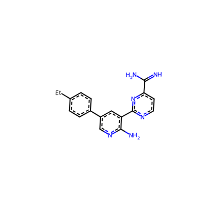 CCc1ccc(-c2cnc(N)c(-c3nccc(C(=N)N)n3)c2)cc1